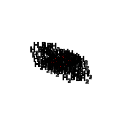 Bc1c(B)c(B)c(S(c2c(B)c(B)c(B)c(B)c2B)(c2c(B)c(B)c(B)c(-n3c4c(B)c(B)c(B)c(B)c4n4c5c(B)c(B)c(B)c(B)c5nc34)c2B)c2c(B)c(B)c(B)c(-n3c4c(B)c(B)c(B)c(B)c4n4c5c(B)c(B)c(B)c(B)c5nc34)c2B)c(B)c1B